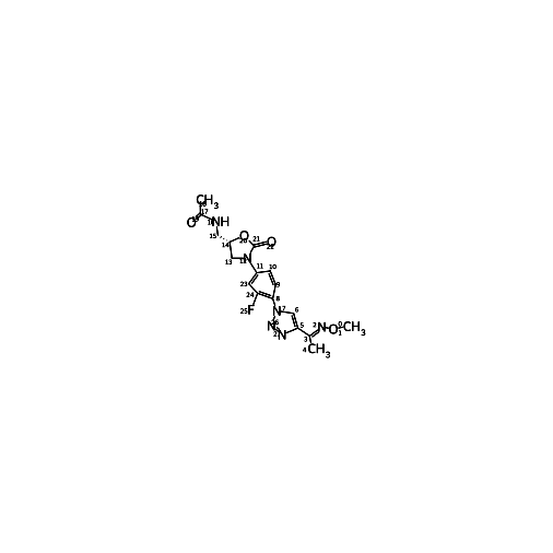 CON=C(C)c1cn(-c2ccc(N3C[C@H](CNC(C)=O)OC3=O)cc2F)nn1